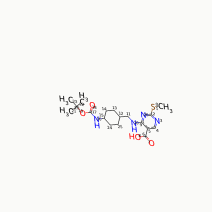 CSc1ncc(C(=O)O)c(NCC2CCC(NC(=O)OC(C)(C)C)CC2)n1